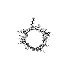 C/C=C/C[C@@H](C)[C@@H](O)[C@H]1C(=O)N[C@@H](CC)C(=O)N(C)[C@H](CSCCCCO)C(=O)N(C)[C@@H](CC(C)(C)OC)C(=O)N[C@@H](C(C)C)C(=O)N(C)[C@@H](CC(C)C)C(=O)N[C@@H](C)C(=O)N[C@H](C)C(=O)N(C)[C@@H](CC(C)C)C(=O)N(C)[C@@H](CC(C)C)C(=O)N(C)[C@@H](C(C)C)C(=O)N1C